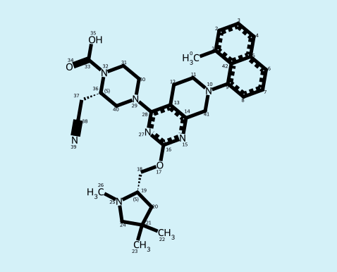 Cc1cccc2cccc(N3CCc4c(nc(OC[C@@H]5CC(C)(C)CN5C)nc4N4CCN(C(=O)O)[C@@H](CC#N)C4)C3)c12